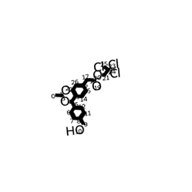 CC(=O)OC(c1ccc(CO)cc1)c1ccc(CC(=O)OCC(Cl)(Cl)Cl)cc1